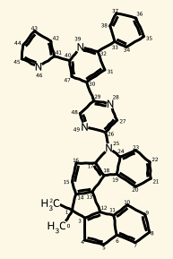 CC1(C)c2ccc3ccccc3c2-c2c1ccc1c2c2ccccc2n1-c1cnc(-c2cc(-c3ccccc3)nc(-c3ccccn3)c2)cn1